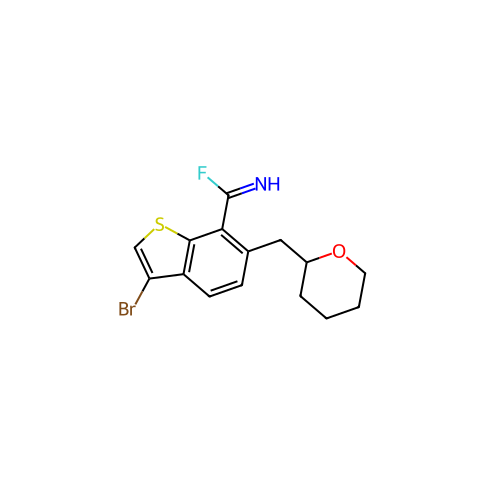 N=C(F)c1c(CC2CCCCO2)ccc2c(Br)csc12